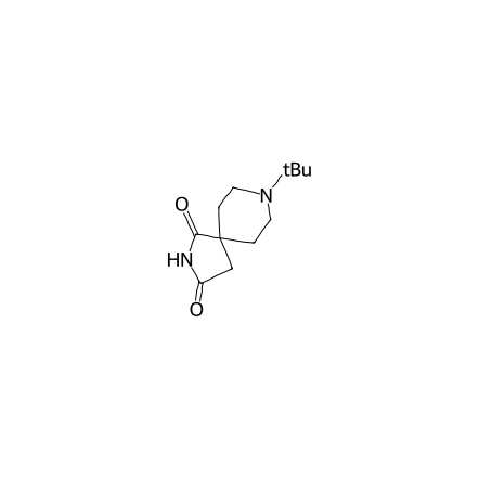 CC(C)(C)N1CCC2(CC1)CC(=O)NC2=O